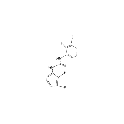 Fc1cccc(NC(=S)Nc2cccc(F)c2F)c1F